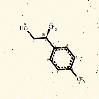 OC[C@H](c1ccc(C(F)(F)F)cc1)C(F)(F)F